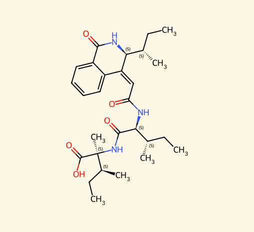 CC[C@H](C)[C@H](NC(=O)C=C1c2ccccc2C(=O)N[C@H]1[C@@H](C)CC)C(=O)N[C@](C)(C(=O)O)[C@@H](C)CC